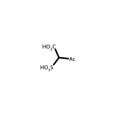 CC(=O)C(C(=O)O)S(=O)(=O)O